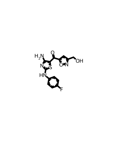 Nc1nc(Nc2ccc(F)cc2)sc1C(=O)c1cc(CO)no1